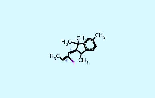 C/C=C(I)\C=C1/C(C)c2ccc(C)cc2C1(C)C